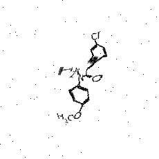 COc1ccc(N(N)C(=O)c2ccc(Cl)cc2)cc1